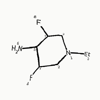 CCN1CC(F)C(N)C(F)C1